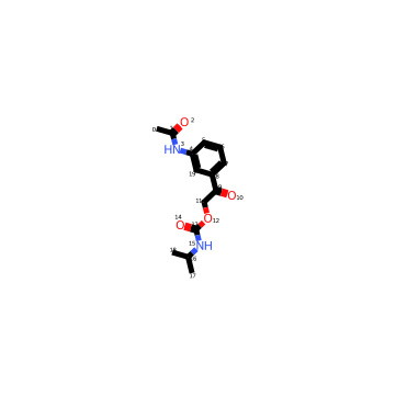 CC(=O)Nc1cccc(C(=O)COC(=O)NC(C)C)c1